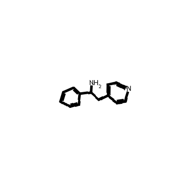 NC(Cc1ccncc1)c1ccccc1